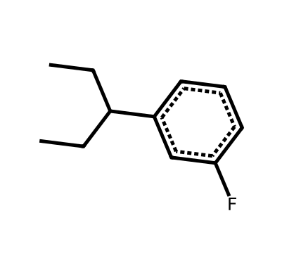 CCC(CC)c1cccc(F)c1